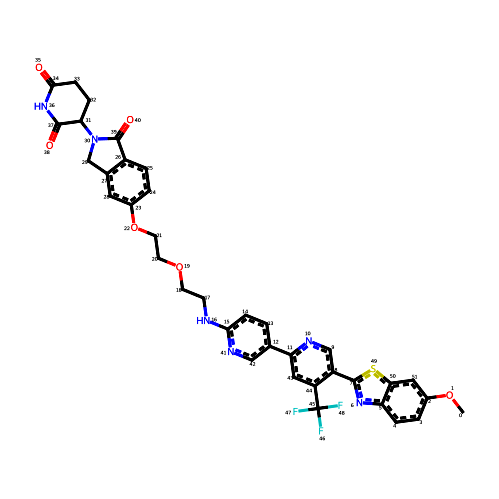 COc1ccc2nc(-c3cnc(-c4ccc(NCCOCCOc5ccc6c(c5)CN(C5CCC(=O)NC5=O)C6=O)nc4)cc3C(F)(F)F)sc2c1